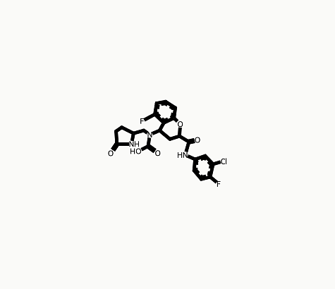 O=C1CCC(CN(C(=O)O)C2CC(C(=O)Nc3ccc(F)c(Cl)c3)Oc3cccc(F)c32)N1